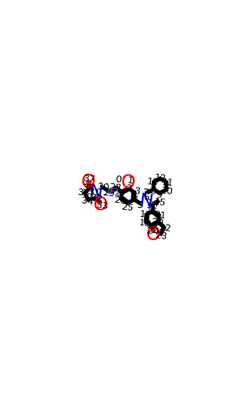 COc1cc(CN(CC2CCCCC2)C(C)c2ccc3c(c2)CCO3)ccc1/C=C/CN1C(=O)CCC1=O